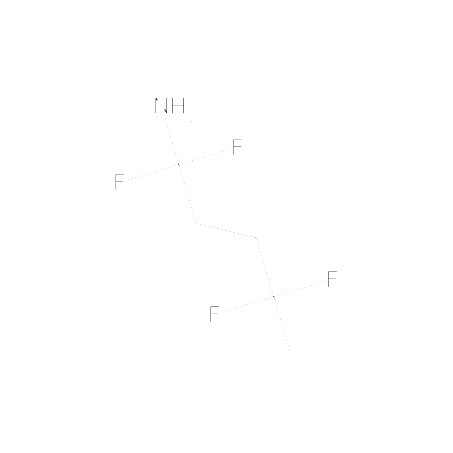 CC(F)(F)CCC(N)(F)F